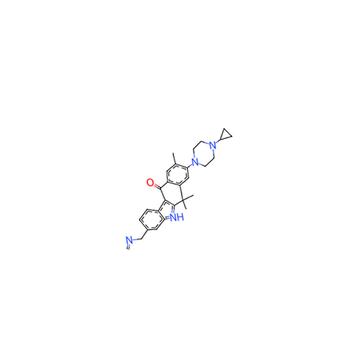 C=NCc1ccc2c3c([nH]c2c1)C(C)(C)c1cc(N2CCN(C4CC4)CC2)c(C)cc1C3=O